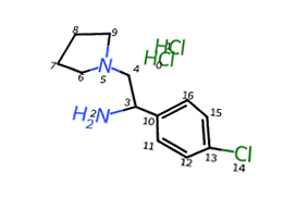 Cl.Cl.NC(CN1CCCC1)c1ccc(Cl)cc1